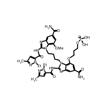 CCn1nc(C)cc1C(=O)Nc1nc2cc(C(N)=O)cc(OC)c2n1CCCCn1c(NC(=O)c2cc(C)nn2CC)nc2cc(C(N)=O)cc(OCCCOP(=O)(O)O)c21